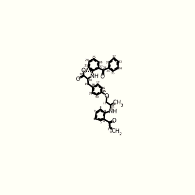 C=CC(=O)c1ccccc1NC(C)COc1ccc(CC(Nc2ccccc2C(=O)c2ccccc2)C(=O)OC)cc1